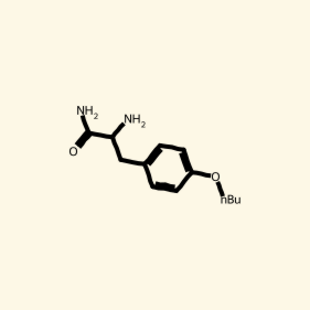 CCCCOc1ccc(CC(N)C(N)=O)cc1